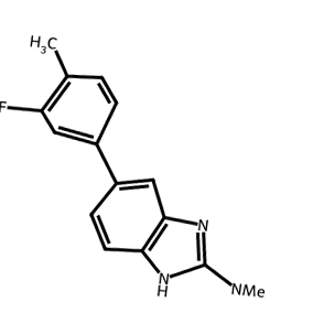 CNc1nc2cc(-c3ccc(C)c(F)c3)ccc2[nH]1